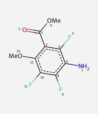 COC(=O)c1c(F)c(N)c(F)c(F)c1OC